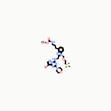 CC(C)(C)OC(=O)NCCCc1cccc2c1nc(CNc1nc(N3CCOCC3)nc3c(Br)cnn13)n2COCCS(C)(C)C